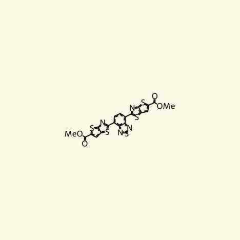 COC(=O)c1cc2sc(-c3ccc(-c4nc5sc(C(=O)OC)cc5s4)c4nsnc34)nc2s1